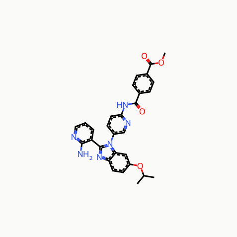 COC(=O)c1ccc(C(=O)Nc2ccc(-n3c(-c4cccnc4N)nc4ccc(OC(C)C)cc43)cn2)cc1